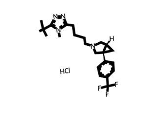 Cl.Cn1c(CCCCN2C[C@@H]3C[C@]3(c3ccc(C(F)(F)F)cc3)C2)nnc1C(C)(C)C